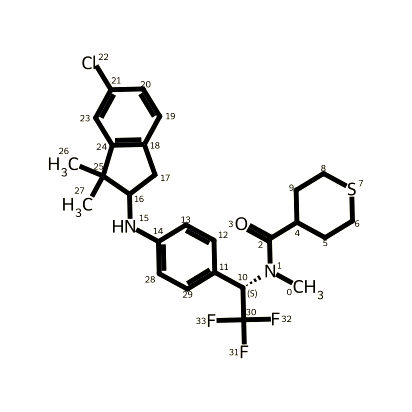 CN(C(=O)C1CCSCC1)[C@@H](c1ccc(NC2Cc3ccc(Cl)cc3C2(C)C)cc1)C(F)(F)F